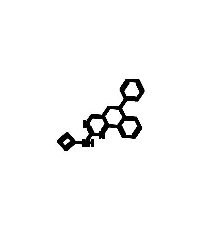 C1=CC(Nc2ncc3c(n2)-c2ccccc2C(c2ccccc2)C3)=C1